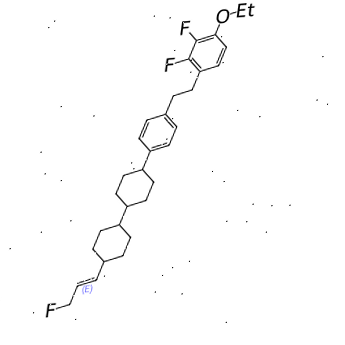 CCOc1ccc(CCc2ccc(C3CCC(C4CCC(/C=C/CF)CC4)CC3)cc2)c(F)c1F